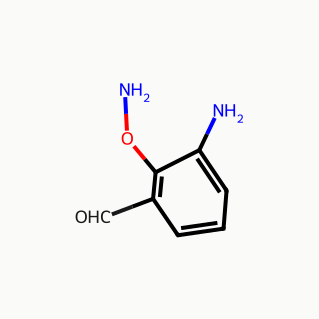 NOc1c(N)cccc1C=O